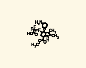 CCOC(=O)c1cc(F)c(N2CCC[C@H](N)C2)c2c(C)c(C)[nH]c12.O=C(O)C(F)(F)F